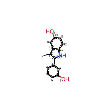 Cc1c(-c2cccc(O)c2)[nH]c2ccc(O)cc12